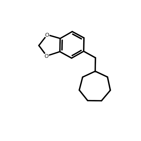 c1cc2c(cc1C[C]1CCCCCC1)OCO2